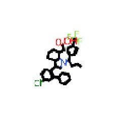 CCCC(c1ccc(C(F)(F)F)cc1)N1CC(c2ccc(Cl)cc2-c2ccccc2)C2=C1C(CC(=O)O)CCC2